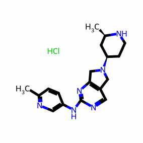 Cc1ccc(Nc2ncc3c(n2)CN([C@@H]2CCN[C@H](C)C2)C3)cn1.Cl